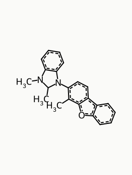 Cc1c(N2c3ccccc3N(C)C2C)ccc2c1oc1ccccc12